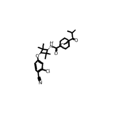 CC(C)C(=O)C12CCC(C(=O)N[C@H]3C(C)(C)[C@H](Oc4ccc(C#N)c(Cl)c4)C3(C)C)(CC1)CC2